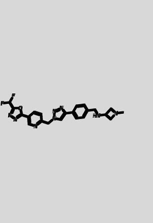 CN1CC(NCc2ccc(-c3cn(Cc4ccc(-c5nnc(C(F)F)o5)cn4)nn3)cc2)C1